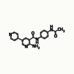 CC(=O)Nc1ccc(NC(=O)c2cc(-c3ccncc3)cnc2N)cc1